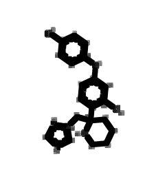 Clc1ccc(Oc2ccc(C3(Cn4cncn4)CCCCO3)c(Cl)c2)cc1